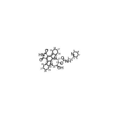 O=C(NCCc1ccccn1)OC1Cn2c3ccccc3c3c4c(c5c6ccccc6n(c5c32)CC1O)C(=O)NC4=O